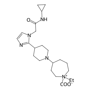 CC[N+]1(C(=O)[O-])CCCC(N2CCC(c3nccn3CC(=O)NC3CC3)CC2)CC1